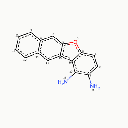 Nc1ccc2oc3cc4ccccc4cc3c2c1N